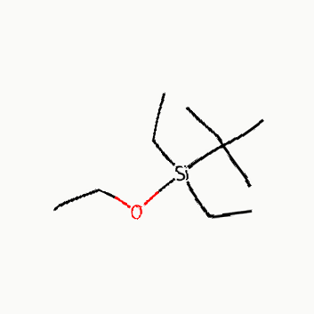 CCO[Si](CC)(CC)C(C)(C)C